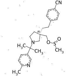 Cc1ccc(C(C)(C)N2CC[C@@](CCc3ccc(C#N)cc3)(COS(C)=O)C2)cn1